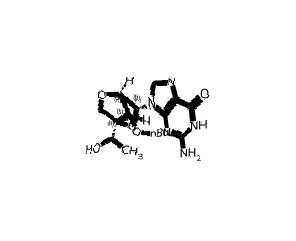 CCCCO[C@H]1[C@H]2OC[C@]1(C(C)O)O[C@H]2n1cnc2c(=O)[nH]c(N)nc21